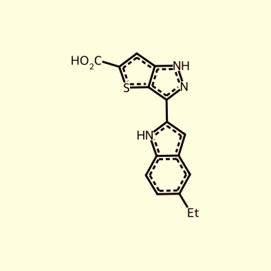 CCc1ccc2[nH]c(-c3n[nH]c4cc(C(=O)O)sc34)cc2c1